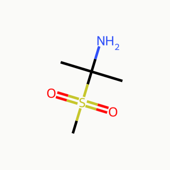 CC(C)(N)S(C)(=O)=O